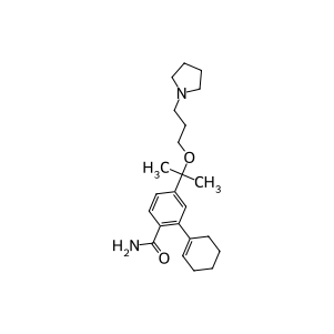 CC(C)(OCCCN1CCCC1)c1ccc(C(N)=O)c(C2=CCCCC2)c1